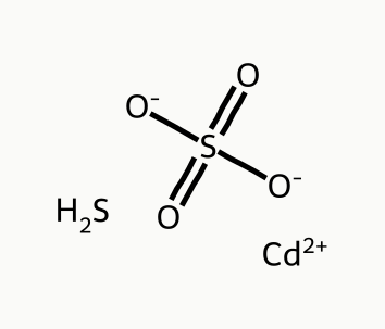 O=S(=O)([O-])[O-].S.[Cd+2]